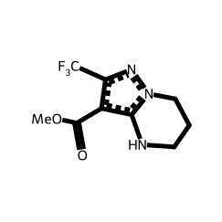 COC(=O)c1c(C(F)(F)F)nn2c1NCCC2